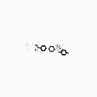 CN(C)C(C(N)=O)c1ccc([C@H]2CC[C@H](N(Cc3ccc(F)cc3)S(C)(=O)=O)CC2)cc1